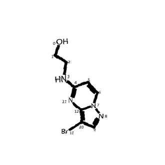 OCCNc1ccn2ncc(Br)c2n1